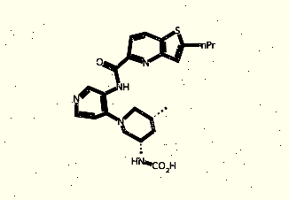 CCCc1cc2nc(C(=O)Nc3cnccc3N3C[C@H](C)C[C@H](NC(=O)O)C3)ccc2s1